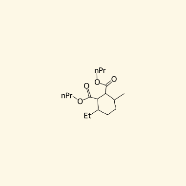 CCCOC(=O)C1C(C)CCC(CC)C1C(=O)OCCC